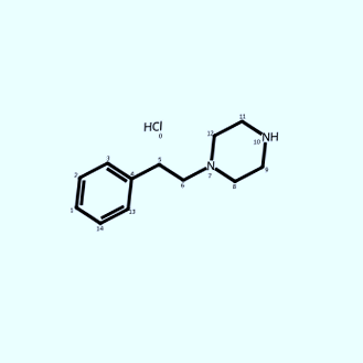 Cl.c1ccc(CCN2CCNCC2)cc1